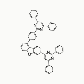 c1ccc(-c2cc(-c3ccccc3)nc(-c3ccc(-c4cccc5oc6cc(-c7nc(-c8ccccc8)nc(-c8ccccc8)n7)ccc6c45)cc3)n2)cc1